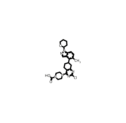 Cc1ccc2c(cnn2C2CCCCO2)c1C1CCc2c(nc(Cl)nc2N2CCN(C(=O)O)CC2)C1